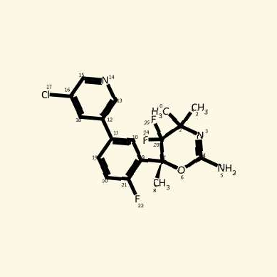 CC1(C)N=C(N)O[C@](C)(c2cc(-c3cncc(Cl)c3)ccc2F)C1(F)F